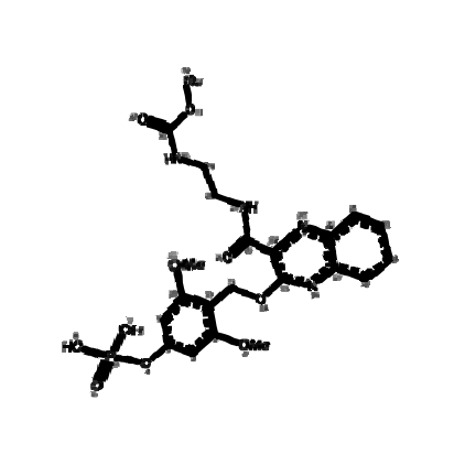 COc1cc(OP(=O)(O)O)cc(OC)c1COc1nc2ccccc2nc1C(=O)NCCNC(=O)OC(C)(C)C